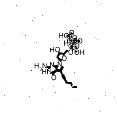 CCCCC#Cc1cn([C@H]2C[C@@H](O)C(COP(=O)(O)OP(=O)(O)OP(=O)(O)O)O2)c2nc(N)[nH]c(=O)c12